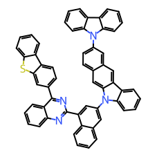 c1ccc2c(-c3nc(-c4ccc5c(c4)sc4ccccc45)c4ccccc4n3)cc(-n3c4ccccc4c4cc5cc(-n6c7ccccc7c7ccccc76)ccc5cc43)cc2c1